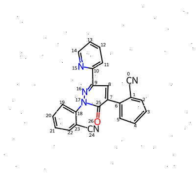 N#Cc1ccccc1-c1cc(-c2ccccn2)nn(-c2ccccc2C#N)c1=O